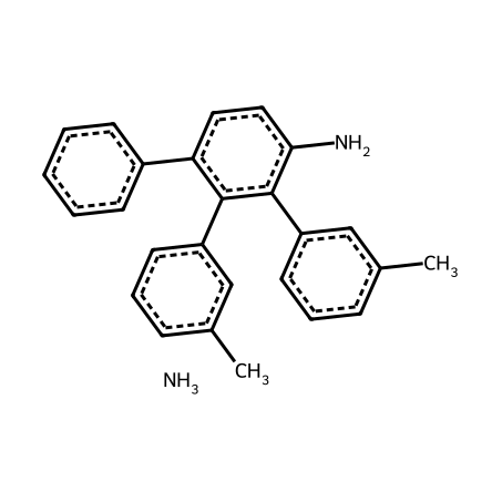 Cc1cccc(-c2c(N)ccc(-c3ccccc3)c2-c2cccc(C)c2)c1.N